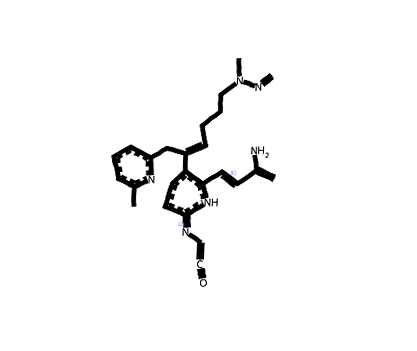 C=NN(C)CCCC=C(Cc1cccc(C)n1)c1cc/c(=N/C=C=O)[nH]c1/C=C/C(=C)N